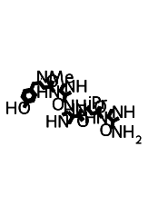 CN[C@H](CC(=O)NC1CNCC1C(=O)NC1CNCC1C(=O)N[C@H](CC(=O)NC1CNCC1C(N)=O)C(C)C)Cc1ccc(O)cc1